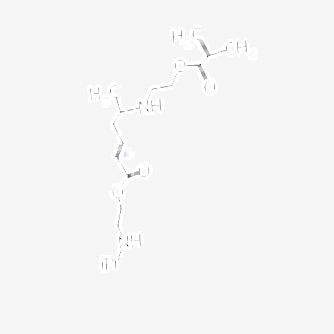 C=C(C)C(=O)OCCNC(C)C/C=C/C(=O)OCCNC(C)C